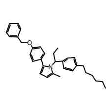 CCCCCCc1ccc(C(CC)n2c(C)ccc2-c2ccc(OCc3ccccc3)cc2)cc1